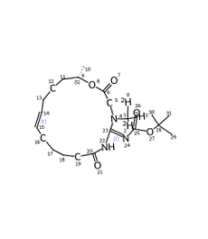 [2H]C([2H])([2H])N1CC(=O)O[C@@H](C)CCC/C=C/CCCCC(=O)N/C1=N/C(=O)OC(C)(C)C